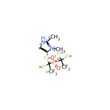 Cc1[nH]cc[n+]1C.O=P([O-])(C(F)(F)C(F)(F)F)C(F)(F)C(F)(F)F